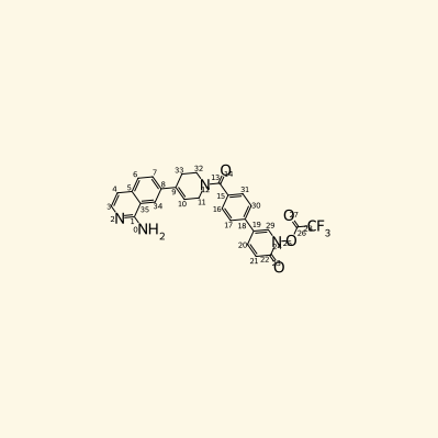 Nc1nccc2ccc(C3=CCN(C(=O)c4ccc(-c5ccc(=O)n(OC(=O)C(F)(F)F)c5)cc4)CC3)cc12